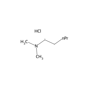 CCCC[CH]N(C)C.Cl